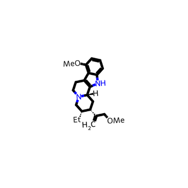 C=C(COC)[C@H]1C[C@H]2c3[nH]c4cccc(OC)c4c3CCN2C[C@H]1CC